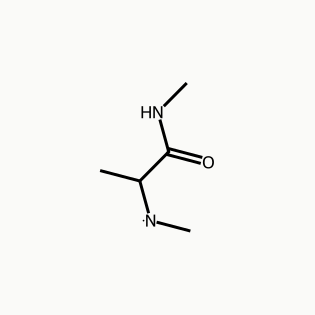 C[N]C(C)C(=O)NC